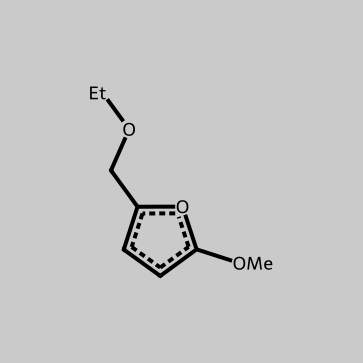 CCOCc1ccc(OC)o1